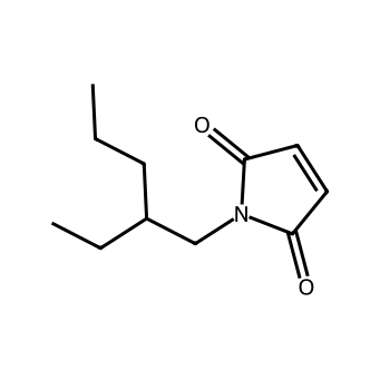 CCCC(CC)CN1C(=O)C=CC1=O